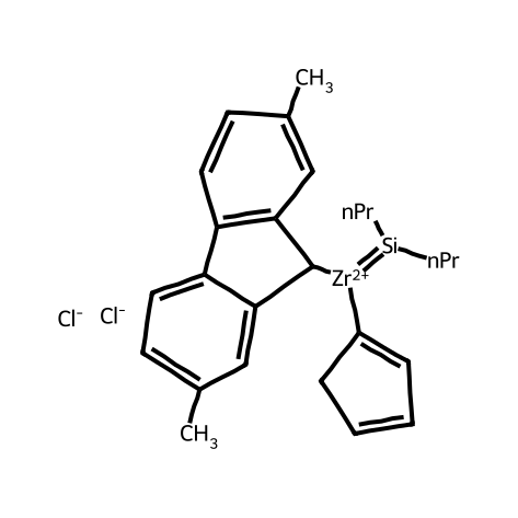 CCC[Si](CCC)=[Zr+2]([C]1=CC=CC1)[CH]1c2cc(C)ccc2-c2ccc(C)cc21.[Cl-].[Cl-]